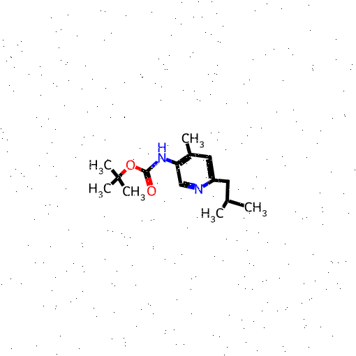 Cc1cc(CC(C)C)ncc1NC(=O)OC(C)(C)C